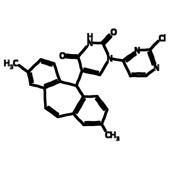 Cc1ccc2c(c1)C=Cc1cc(C)ccc1C2c1cn(-c2ccnc(Cl)n2)c(=O)[nH]c1=O